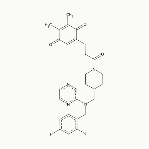 CC1=C(C)C(=O)C(CCC(=O)N2CCC(CN(Cc3ccc(F)cc3F)c3cnccn3)CC2)=CC1=O